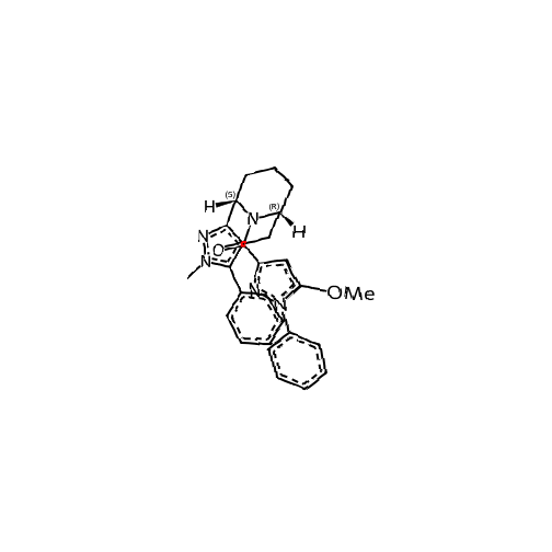 COc1cc(C(=O)N2[C@@H]3CCC[C@H]2c2nn(C)c(-c4ccccc4)c2C3)nn1-c1ccccc1